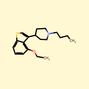 CCCCN1CCC(c2csc3cccc(OCC)c23)CC1